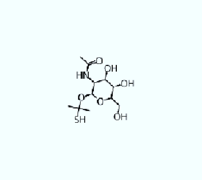 CC(=O)NC1C(O)[C@@H](O)C(CO)O[C@H]1OC(C)(C)S